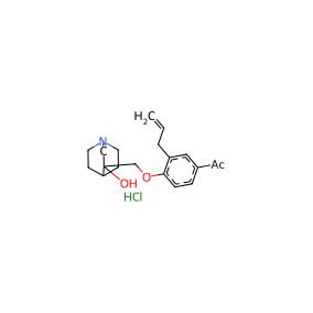 C=CCc1cc(C(C)=O)ccc1OCC1(O)CN2CCC1CC2.Cl